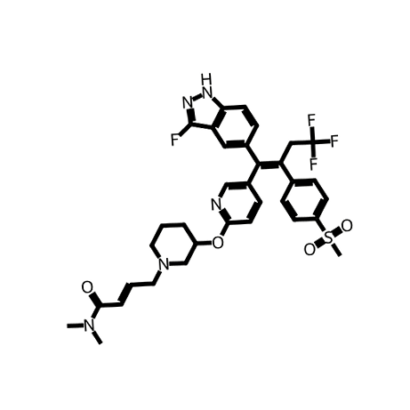 CN(C)C(=O)C=CCN1CCCC(Oc2ccc(/C(=C(/CC(F)(F)F)c3ccc(S(C)(=O)=O)cc3)c3ccc4[nH]nc(F)c4c3)cn2)C1